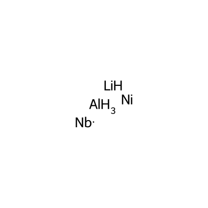 [AlH3].[LiH].[Nb].[Ni]